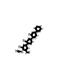 N#CSc1c(F)cc(-c2ccc(-c3ccc(-c4ccccc4)cc3F)cc2F)cc1CF